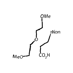 CCCCCCCCCCCC(=O)O.COCCOCCOC